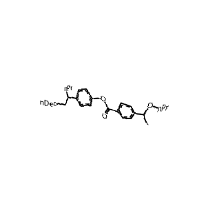 CCCCCCCCCCCC(CCC)c1ccc(OC(=O)c2ccc(C(C)OCCC)cc2)cc1